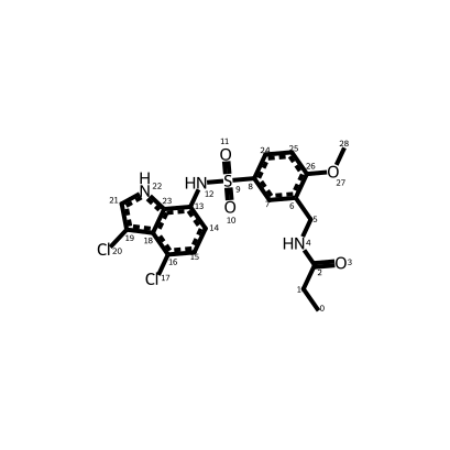 CCC(=O)NCc1cc(S(=O)(=O)Nc2ccc(Cl)c3c(Cl)c[nH]c23)ccc1OC